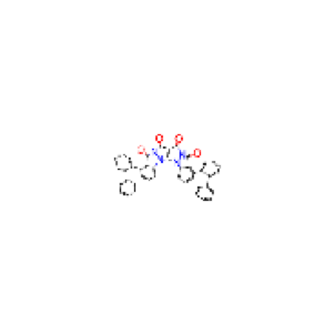 O=c1c2c(-c3ccccc3-c3ccccc3)cccc2n2c3c(c(=O)n12)c(=O)n1c(=O)c2c(-c4ccccc4-c4ccccc4)cccc2n31